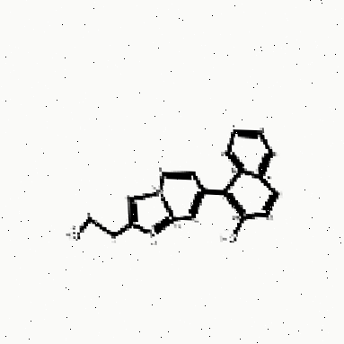 OCCc1cn2ccc(-c3c(O)ccc4ccccc34)cc2n1